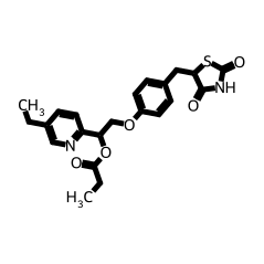 CCC(=O)OC(COc1ccc(CC2SC(=O)NC2=O)cc1)c1ccc(CC)cn1